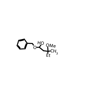 CCC(C)(CC(O)OCc1ccccc1)OC